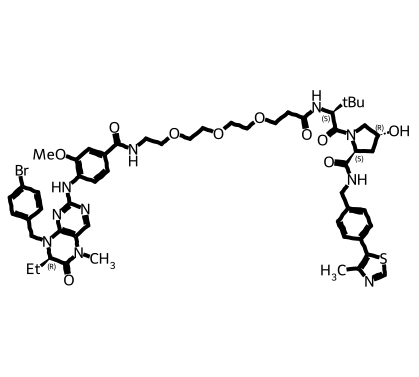 CC[C@@H]1C(=O)N(C)c2cnc(Nc3ccc(C(=O)NCCOCCOCCOCCC(=O)N[C@H](C(=O)N4C[C@H](O)C[C@H]4C(=O)NCc4ccc(-c5scnc5C)cc4)C(C)(C)C)cc3OC)nc2N1Cc1ccc(Br)cc1